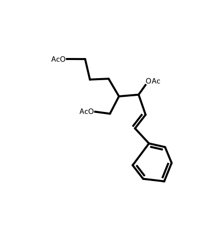 CC(=O)OCCCC(COC(C)=O)C(C=Cc1ccccc1)OC(C)=O